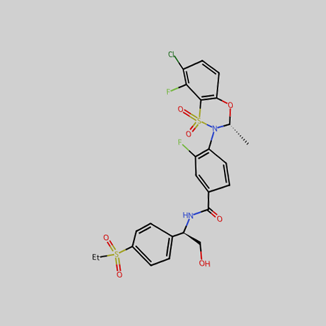 CCS(=O)(=O)c1ccc([C@H](CO)NC(=O)c2ccc(N3[C@@H](C)Oc4ccc(Cl)c(F)c4S3(=O)=O)c(F)c2)cc1